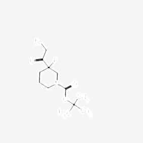 CC(C)(C)OC(=O)N1CCCC(F)(C(=O)CBr)C1